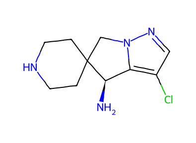 N[C@@H]1c2c(Cl)cnn2CC12CCNCC2